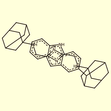 c1ccc2[nH]c(CNC34CC5CC(C3)C(c3ccc6[nH]c(CNC78CC9CC(CC(C9)C7)C8)cc6c3)C(C5)C4)nc2c1